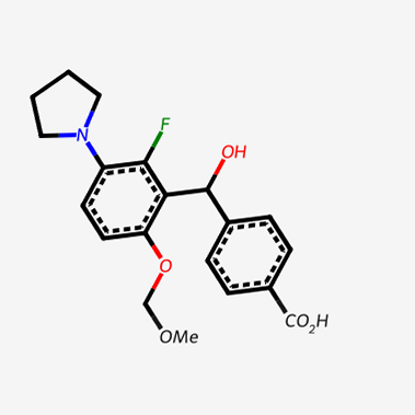 COCOc1ccc(N2CCCC2)c(F)c1C(O)c1ccc(C(=O)O)cc1